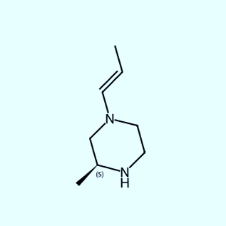 CC=CN1CCN[C@@H](C)C1